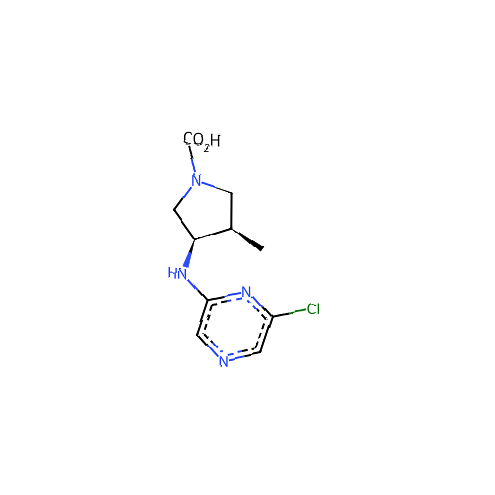 C[C@@H]1CN(C(=O)O)C[C@@H]1Nc1cncc(Cl)n1